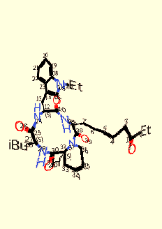 CCC(=O)CCCCC[C@@H]1NC(=O)[C@H](Cc2cn(CC)c3ccccc23)NC(=O)[C@H](C(C)CC)NC(=O)[C@@H]2CCCCN2C1=O